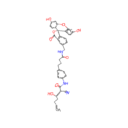 C#CCC/C(O)=C(\C#N)C(=O)Nc1ccc(CCCC(=O)NCc2ccc3c(c2)C(=O)OC32c3ccc(O)cc3Oc3cc(O)ccc32)cc1